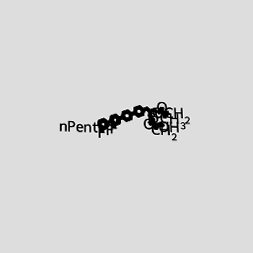 C=C(C)C(=O)OCC(COC(=O)C(=C)CO)CC1CCC(C2CCC(c3ccc(-c4ccc(CCCCC)c(F)c4F)c(F)c3)CC2)CC1